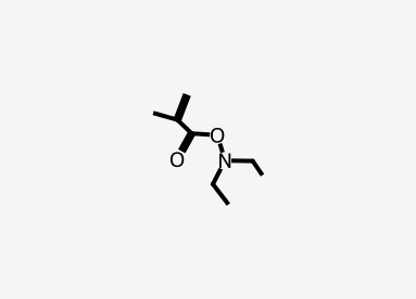 C=C(C)C(=O)ON(CC)CC